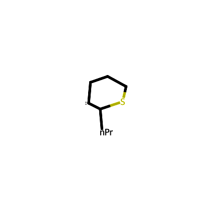 CCCC1[C]CCCS1